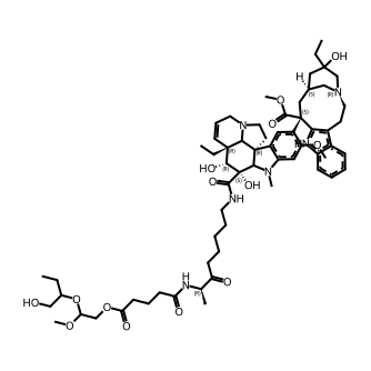 CCC(CO)OC(COC(=O)CCCC(=O)N[C@H](C)C(=O)CCCCCNC(=O)[C@]1(O)C2N(C)c3cc(OC)c([C@@]4(C(=O)OC)C[C@@H]5C[N@](CCc6c4[nH]c4ccccc64)CC(O)(CC)C5)cc3[C@@]23CCN2CC=C[C@](CC)(C23)[C@H]1O)OC